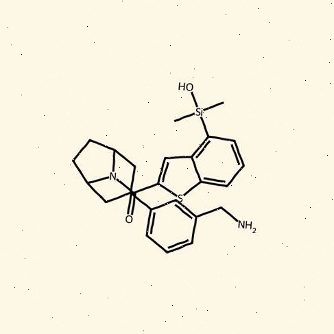 C[Si](C)(O)c1cccc2sc(C(=O)N3C4CCC3CC(c3cccc(CN)c3)C4)cc12